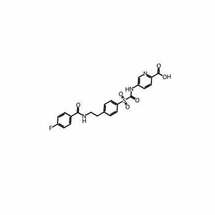 O=C(NCCc1ccc(S(=O)(=O)C(=O)Nc2ccc(C(=O)O)nc2)cc1)c1ccc(F)cc1